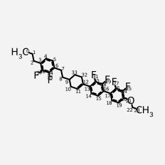 CCCc1ccc(CCC2CC=C(c3ccc(-c4ccc(OCC)c(F)c4F)c(F)c3F)CC2)c(F)c1F